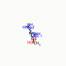 CC(O)C(=O)OC(CCCCCNC(=N)N)NC(=N)N